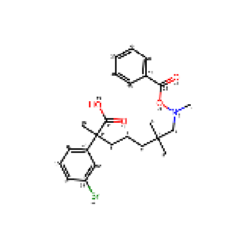 CN(CC(C)(C)CCCC(C)(C(=O)O)c1cccc(Br)c1)OC(=O)c1ccccc1